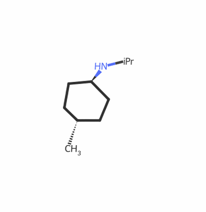 CC(C)N[C@H]1CC[C@H](C)CC1